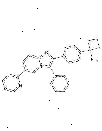 NC1(c2ccc(-c3nc4ccc(-c5ccccn5)cn4c3-c3ccccc3)cc2)CCC1